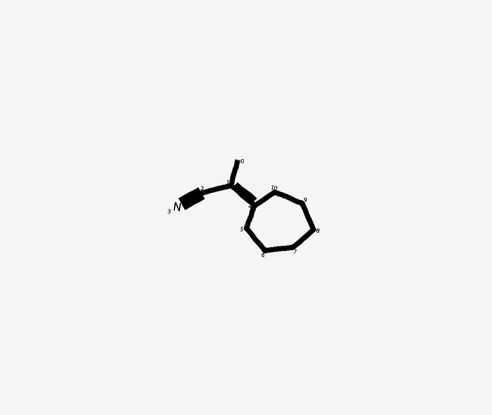 CC(C#N)=C1CCCCCC1